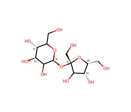 OCC1O[C@@H](O[C@]2(CO)O[C@H](CO)[C@H](O)C2O)C(O)[C@@H](O)[C@@H]1O